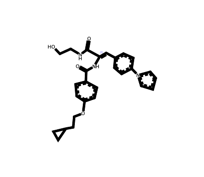 O=C(NCCO)/C(=C/c1ccc(-n2cccc2)cc1)NC(=O)c1ccc(OCCC2CC2)cc1